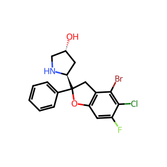 O[C@H]1CN[C@H](C2(c3ccccc3)Cc3c(cc(F)c(Cl)c3Br)O2)C1